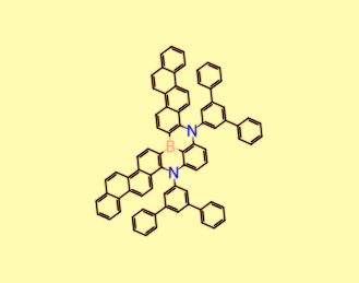 c1ccc(-c2cc(-c3ccccc3)cc(N3c4cccc5c4B(c4ccc6c(ccc7c8ccccc8ccc67)c43)c3ccc4c(ccc6c7ccccc7ccc46)c3N5c3cc(-c4ccccc4)cc(-c4ccccc4)c3)c2)cc1